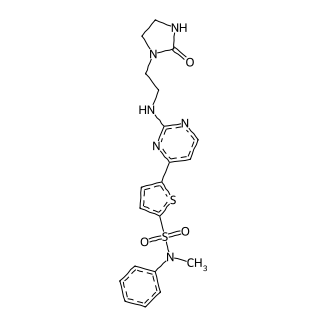 CN(c1ccccc1)S(=O)(=O)c1ccc(-c2ccnc(NCCN3CCNC3=O)n2)s1